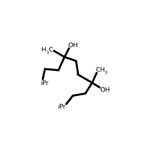 CC(C)CCC(C)(O)[CH]CC(C)(O)CCC(C)C